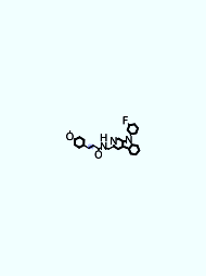 COc1ccc(/C=C/C(=O)NCc2cc3c4ccccc4n(-c4cccc(F)c4)c3cn2)cc1